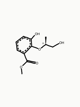 COC(=O)c1cccc(O)c1O[C@@H](C)CO